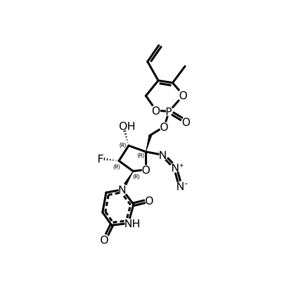 C=CC1=C(C)OP(=O)(OC[C@@]2(N=[N+]=[N-])O[C@@H](n3ccc(=O)[nH]c3=O)[C@H](F)[C@@H]2O)OC1